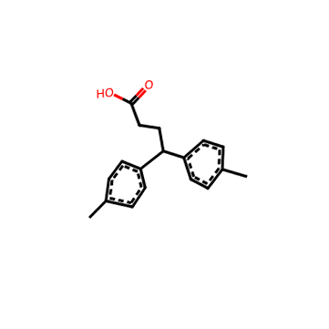 Cc1ccc(C(CCC(=O)O)c2ccc(C)cc2)cc1